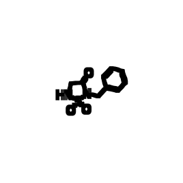 O=C1CNS(=O)(=O)N1Cc1ccccc1